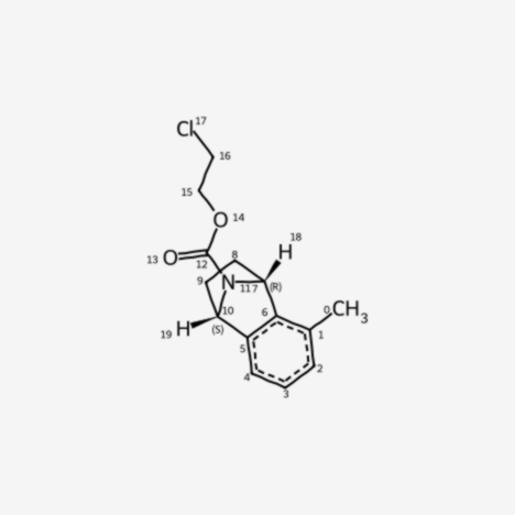 Cc1cccc2c1[C@H]1CC[C@@H]2N1C(=O)OCCCl